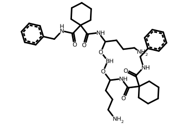 NCCCC(NC(=O)C1(C(=O)NCc2ccccc2)CCCCC1)OBOC(CCCN)NC(=O)C1(C(=O)NCc2ccccc2)CCCCC1